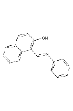 Oc1ccc2ccccc2c1C=Nc1ccccc1